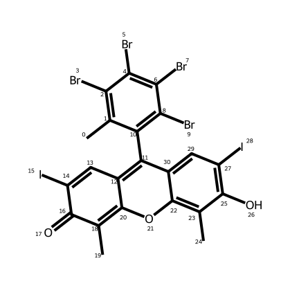 Cc1c(Br)c(Br)c(Br)c(Br)c1-c1c2cc(I)c(=O)c(C)c-2oc2c(C)c(O)c(I)cc12